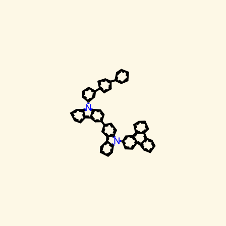 c1ccc(-c2ccc(-c3cccc(-n4c5ccccc5c5cc(-c6ccc7c(c6)c6ccccc6n7-c6ccc7c8ccccc8c8ccccc8c7c6)ccc54)c3)cc2)cc1